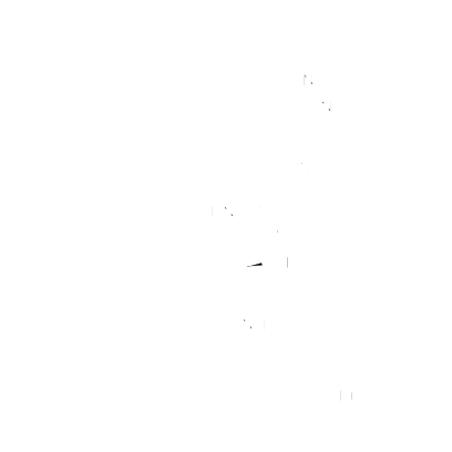 CCc1cccc(CNC[C@H](O)[C@H](Cc2cc(F)cc(F)c2)NC(=O)c2cc3c(-c4ccccc4)nn(C)c3s2)c1